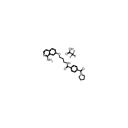 Nc1nccc2ccc(OCCCNC(=O)c3ccc(C(=O)N4CCCC4)cc3)cc12.O=C(O)C(F)(F)F